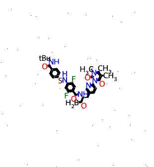 BC(=O)[C@H](Cc1ccc(-n2c(=O)c(C)c(C)n(C)c2=O)nc1)NC(=O)c1cc(F)c(NSc2ccc(C(=O)NC(C)(C)C)cc2)cc1F